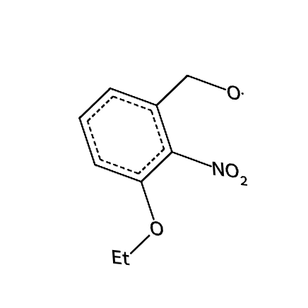 CCOc1cccc(C[O])c1[N+](=O)[O-]